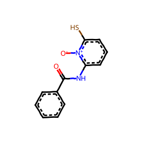 O=C(Nc1cccc(S)[n+]1[O-])c1ccccc1